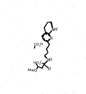 CC(=O)O.CCC(CC(C)OC)(NCCCCc1ccc2c(n1)NCCC2)C(=O)O